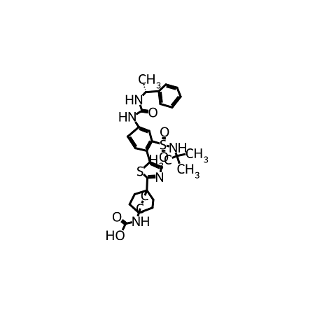 C[C@@H](NC(=O)Nc1ccc(-c2cnc(C34CCC(NC(=O)O)(CC3)CC4)s2)c(S(=O)(=O)NC(C)(C)C)c1)c1ccccc1